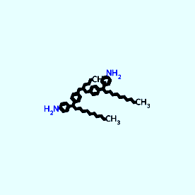 CCCCCCCCCCC(c1ccc(N)cc1)c1ccc(CC(CCCC)Cc2ccc(C(CCCCCCCCCC)c3ccc(N)cc3)cc2)cc1